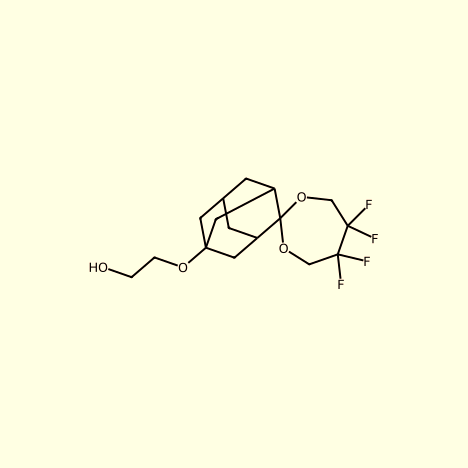 OCCOC12CC3CC(C1)C1(OCC(F)(F)C(F)(F)CO1)C(C3)C2